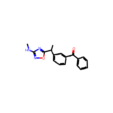 CNc1noc(C(C)c2cccc(C(=O)c3ccccc3)c2)n1